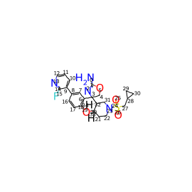 NC1=NC2(CO1)c1cc(-c3cccnc3F)ccc1O[C@H]1CCN(S(=O)(=O)CC3CC3)C[C@@H]12